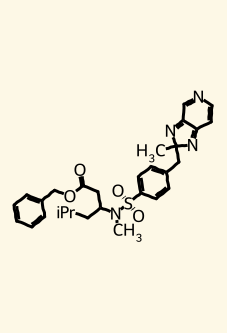 CC(C)CC(CC(=O)OCc1ccccc1)N(C)S(=O)(=O)c1ccc(CC2(C)N=c3ccncc3=N2)cc1